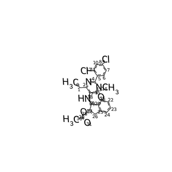 CCc1nc(-c2ccc(Cl)cc2Cl)n(C)c(=O)c1N[C@@H]1c2ccccc2C[C@@H]1OC(C)=O